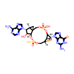 Nc1nc2c(ncn2[C@@H]2S[C@@H]3CO[P@](=O)(S)O[C@H]4[C@@H](O)[C@H](n5cnc6c(N)ncnc65)[C@H]5C[C@]54COP(=O)(O)O[C@@H]2[C@@H]3O)c(=O)[nH]1